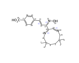 CC1(C)CCC(C)(C)C/N=C(C(/C=C/c2ccc(C(=O)O)cc2)=N\O)\C=N/C1